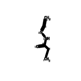 C=C=NNC(=O)CC